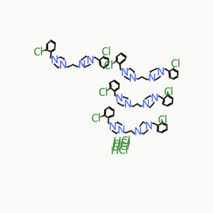 Cl.Cl.Cl.Cl.Clc1ccccc1CN1CCN(CCCN2CCN(Cc3ccccc3Cl)CC2)CC1.Clc1ccccc1CN1CCN(CCCN2CCN(Cc3ccccc3Cl)CC2)CC1.Clc1ccccc1CN1CCN(CCCN2CCN(Cc3ccccc3Cl)CC2)CC1.Clc1ccccc1CN1CCN(CCCN2CCN(Cc3ccccc3Cl)CC2)CC1